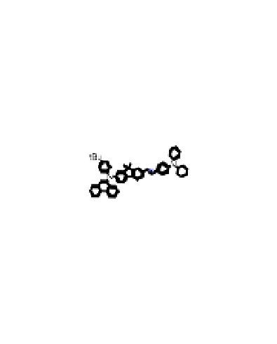 CC(C)(C)c1ccc(N(c2ccc3c(c2)C(C)(C)c2cc(/C=C/c4ccc(N(c5ccccc5)c5ccccc5)cc4)ccc2-3)c2cc3ccccc3c3ccccc23)cc1